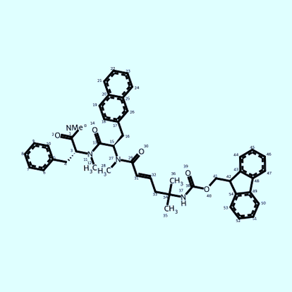 CNC(=O)[C@@H](Cc1ccccc1)N(C)C(=O)[C@@H](Cc1ccc2ccccc2c1)N(C)C(=O)/C=C/CC(C)(C)NC(=O)OCC1c2ccccc2-c2ccccc21